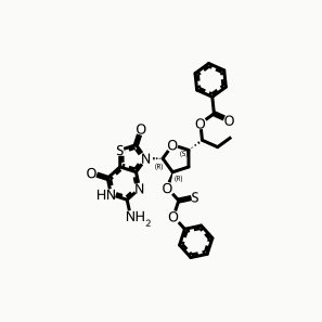 CCC(OC(=O)c1ccccc1)[C@@H]1C[C@@H](OC(=S)Oc2ccccc2)[C@H](n2c(=O)sc3c(=O)[nH]c(N)nc32)O1